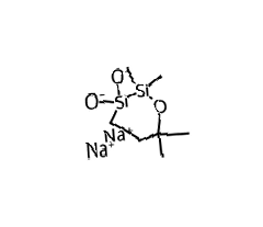 CC1(C)CC[Si]([O-])([O-])[Si](C)(C)O1.[Na+].[Na+]